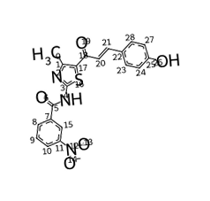 Cc1nc(NC(=O)c2cccc([N+](=O)[O-])c2)sc1C(=O)C=Cc1ccc(O)cc1